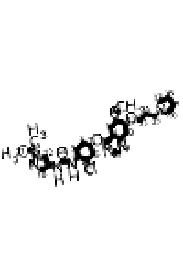 COc1cc2c(Oc3ccc(NC(=O)Nc4cnn(C(C)C)c4)c(Cl)c3)ncnc2cc1OCCCN1CCCC1